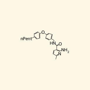 CCCCCc1ccc(Oc2ccc(CNC(=O)c3ccc(C)nc3N)cc2)cc1